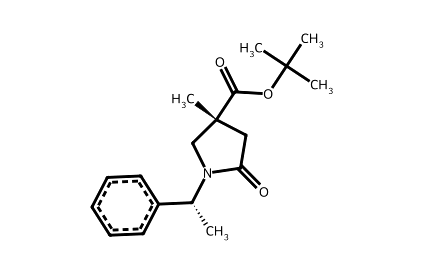 C[C@H](c1ccccc1)N1C[C@](C)(C(=O)OC(C)(C)C)CC1=O